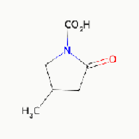 CC1CC(=O)N(C(=O)O)C1